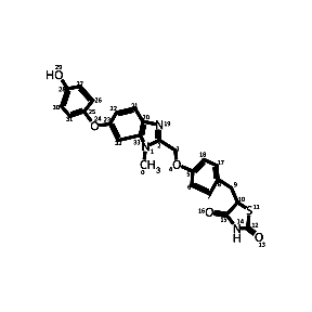 Cn1c(COc2ccc(CC3SC(=O)NC3=O)cc2)nc2ccc(Oc3ccc(O)cc3)cc21